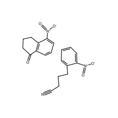 N#CCCCc1ccccc1[N+](=O)[O-].O=C1CCCc2c1cccc2[N+](=O)[O-]